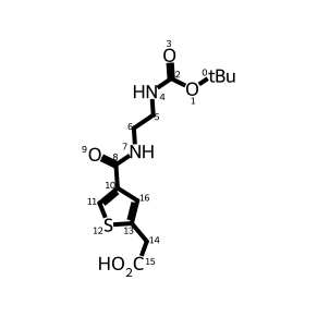 CC(C)(C)OC(=O)NCCNC(=O)c1csc(CC(=O)O)c1